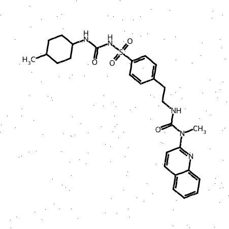 CC1CCC(NC(=O)NS(=O)(=O)c2ccc(CCNC(=O)N(C)c3ccc4ccccc4n3)cc2)CC1